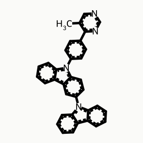 Cc1cncnc1-c1ccc(-n2c3ccccc3c3cc(-n4c5ccccc5c5ccccc54)ccc32)cc1